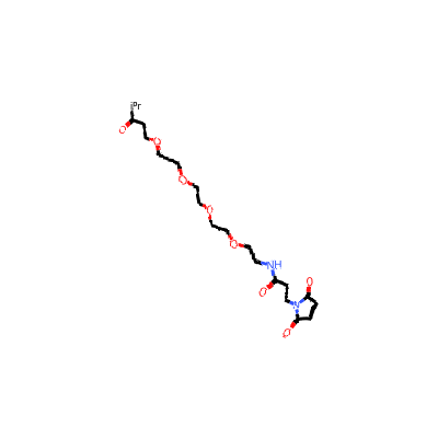 CC(C)C(=O)CCOCCOCCOCCOCCNC(=O)CCN1C(=O)C=CC1=O